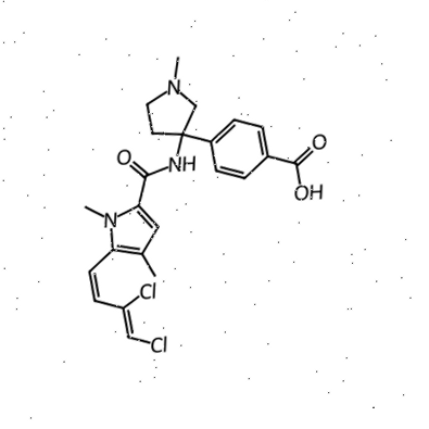 Cc1cc(C(=O)NC2(c3ccc(C(=O)O)cc3)CCN(C)C2)n(C)c1/C=C\C(Cl)=C\Cl